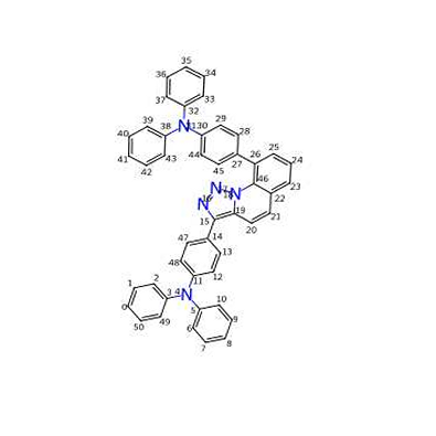 c1ccc(N(c2ccccc2)c2ccc(-c3nnn4c3ccc3cccc(-c5ccc(N(c6ccccc6)c6ccccc6)cc5)c34)cc2)cc1